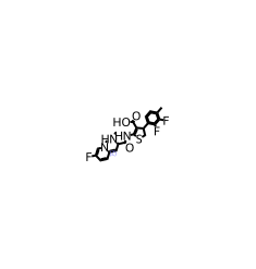 CNC(/C=C1/C=CC(F)=CN1C)C(=O)NC1=C(C(=O)O)C(c2ccc(C)c(F)c2F)CS1